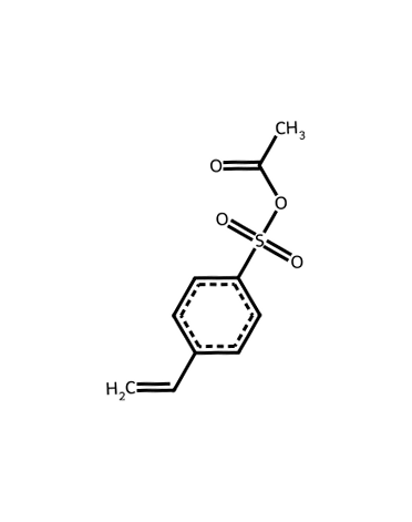 C=Cc1ccc(S(=O)(=O)OC(C)=O)cc1